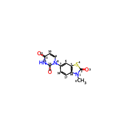 Cn1c(=O)sc2cc(-n3ccc(=O)[nH]c3=O)ccc21